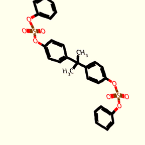 CC(C)(c1ccc(OS(=O)(=O)Oc2ccccc2)cc1)c1ccc(OS(=O)(=O)Oc2ccccc2)cc1